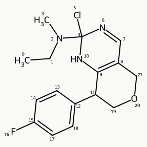 CCN(C)C1(Cl)N=CC2=C(N1)C(c1ccc(F)cc1)COC2